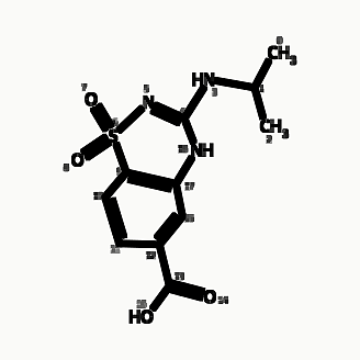 CC(C)NC1=NS(=O)(=O)c2ccc(C(=O)O)cc2N1